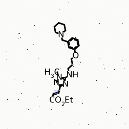 CCOC(=O)/C=C/c1nc(NCCCOc2cccc(CN3CCCCC3)c2)n(C)n1